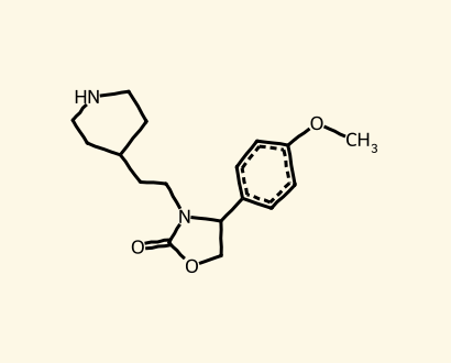 COc1ccc(C2COC(=O)N2CCC2CCNCC2)cc1